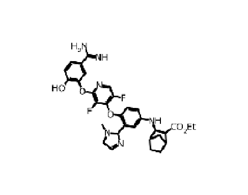 CCOC(=O)C1C2CCC(C2)C1Nc1ccc(Oc2c(F)cnc(Oc3cc(C(=N)N)ccc3O)c2F)c(C2N=CCN2C)c1